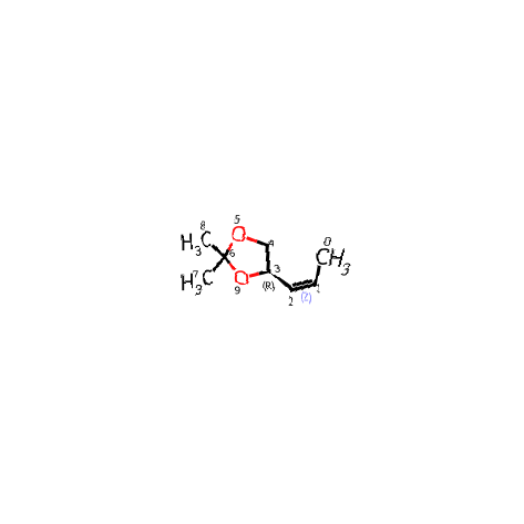 C/C=C\[C@@H]1COC(C)(C)O1